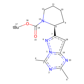 Cc1nc(C)n2nc([C@@H]3CCCCN3C(=O)OC(C)(C)C)cc2n1